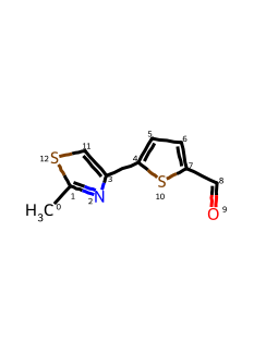 Cc1nc(-c2ccc(C=O)s2)cs1